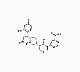 O=CC(C(=O)Nc1ccnc(C(=O)O)c1)c1ccc2c(-c3ccc(F)cc3Cl)cc(=O)oc2c1